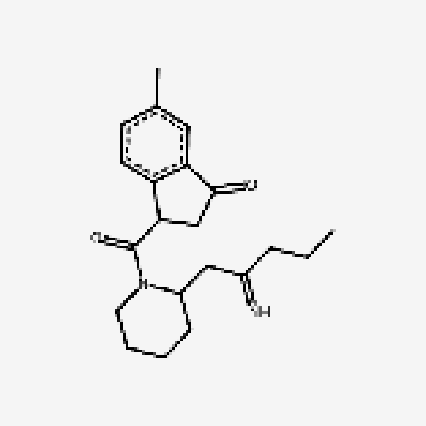 CCCC(=N)CC1CCCCN1C(=O)C1CC(=O)c2cc(C)ccc21